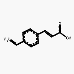 C=Cc1ccc(/C=C/C(=O)O)cc1